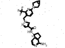 Nc1nccc2c1CC[C@H]2NC(=O)c1cnn(Cc2ccc(N3CC4CC4C3)nc2C(F)(F)F)c1